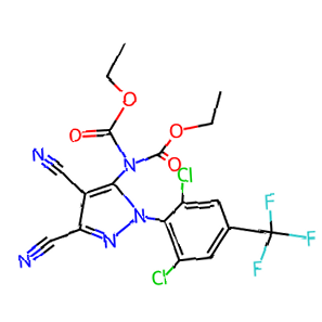 CCOC(=O)N(C(=O)OCC)c1c(C#N)c(C#N)nn1-c1c(Cl)cc(C(F)(F)F)cc1Cl